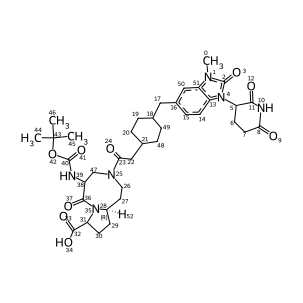 Cn1c(=O)n(C2CCC(=O)NC2=O)c2ccc(CC3CCC(CC(=O)N4CC[C@H]5CCC(C(=O)O)N5C(=O)C(NC(=O)OC(C)(C)C)C4)CC3)cc21